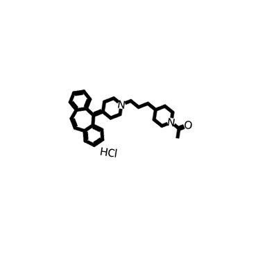 CC(=O)N1CCC(CCCN2CCC(=C3c4ccccc4C=Cc4ccccc43)CC2)CC1.Cl